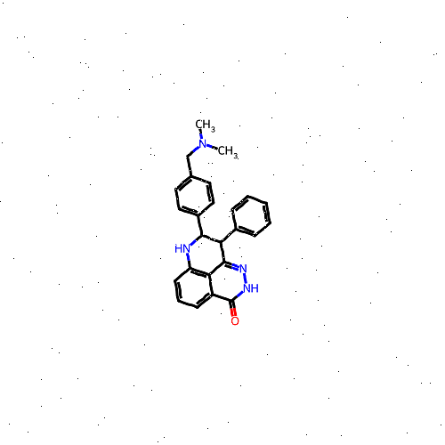 CN(C)Cc1ccc(C2Nc3cccc4c(=O)[nH]nc(c34)C2c2ccccc2)cc1